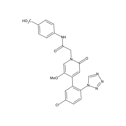 COc1cn(CC(=O)Nc2ccc(C(=O)O)cc2)c(=O)cc1-c1cc(Cl)ccc1-n1cnnn1